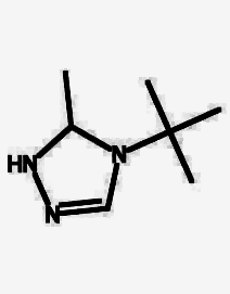 CC1NN=CN1C(C)(C)C